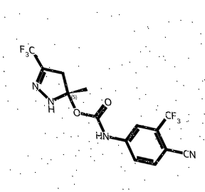 C[C@]1(OC(=O)Nc2ccc(C#N)c(C(F)(F)F)c2)CC(C(F)(F)F)=NN1